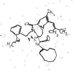 COc1ccccc1CN1C(=O)c2cc(C)c(C=C(C)C)n2CC1(C)C(=O)NC1CCCCCCC1